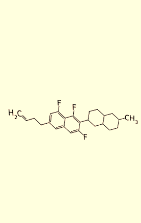 C=CCCc1cc(F)c2c(F)c(C3CCC4CC(C)CCC4C3)c(F)cc2c1